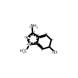 CCC1C=c2c(c(N)nn2C)=CC1